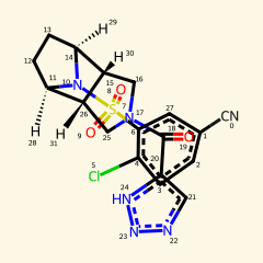 N#Cc1ccc(Cl)c(S(=O)(=O)N2[C@@H]3CC[C@H]2[C@@H]2CN(C(=O)c4cnn[nH]4)C[C@@H]23)c1